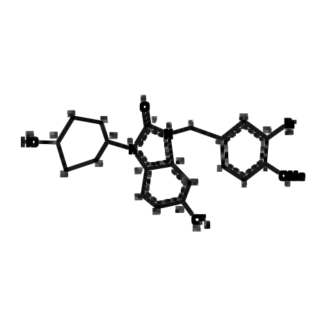 COc1ccc(Cn2c(=O)n(C3CCC(O)CC3)c3ccc(C(F)(F)F)cc32)cc1Br